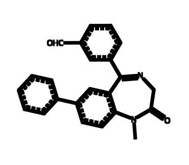 CN1C(=O)CN=C(c2cccc(C=O)c2)c2cc(-c3ccccc3)ccc21